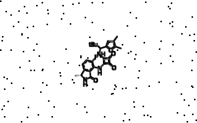 Cc1cc(C(Nc2c(Nc3c(F)ccc4c3C(=O)N[C@@H]4C)c(=O)c2=O)C(C)(C)C)oc1C